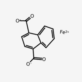 O=C([O-])c1ccc(C(=O)[O-])c2ccccc12.[Fe+2]